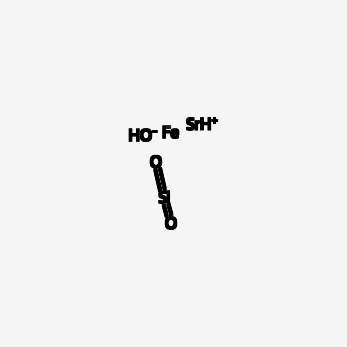 O=[Si]=O.[Fe].[OH-].[SrH+]